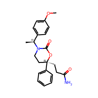 COc1ccc([C@H](C)N2CC[C@](CCC(N)=O)(c3ccccc3)OC2=O)cc1